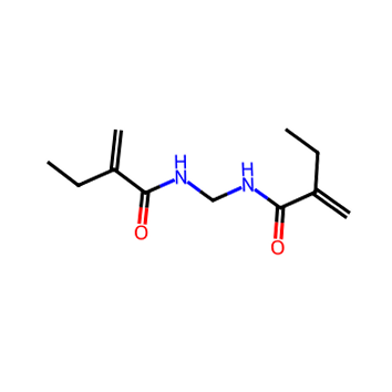 C=C(CC)C(=O)NCNC(=O)C(=C)CC